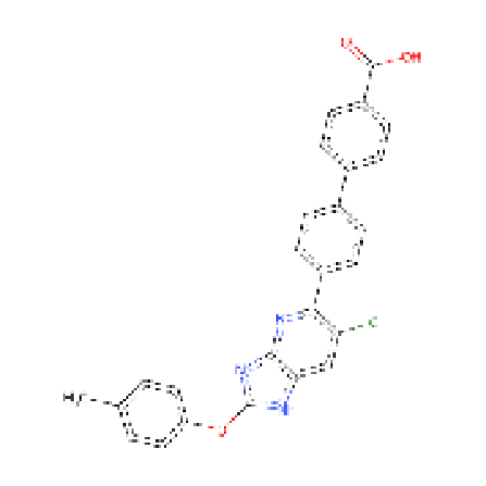 Cc1ccc(Oc2nc3nc(-c4ccc(-c5ccc(C(=O)O)cc5)cc4)c(Cl)cc3[nH]2)cc1